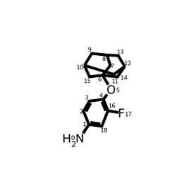 Nc1ccc(OC23CC4CC(CC(C4)C2)C3)c(F)c1